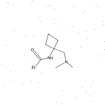 CCC(=O)NC1(CN(C)C)CCC1